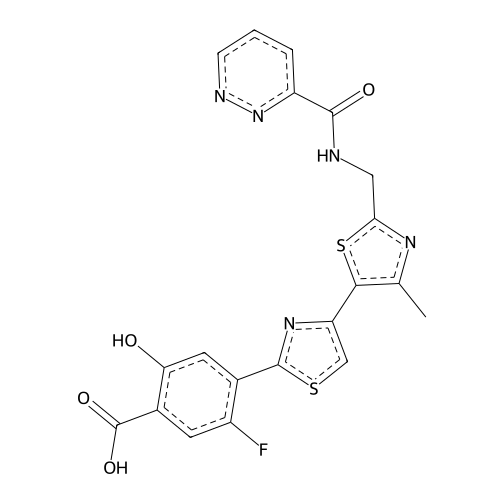 Cc1nc(CNC(=O)c2cccnn2)sc1-c1csc(-c2cc(O)c(C(=O)O)cc2F)n1